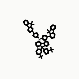 CC(C)(C)c1cccc(C2(c3cccc(C(C)(C)C)c3)c3ccccc3-c3c(N(c4ccc(-c5ccc6c(c5)C(C)(C)c5ccccc5-6)cc4)c4ccc(-c5cccc6c5C(C)(C)c5ccccc5-6)cc4)cccc32)c1